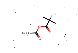 CC(C)(S)C(=O)OC(=O)C(=O)O